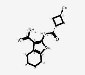 NC(=O)c1c(NC(=O)[C@H]2C[C@H](F)C2)sc2c1CCCC2